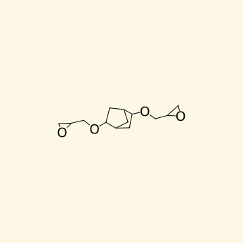 C1OC1COC1CC2CC1CC2OCC1CO1